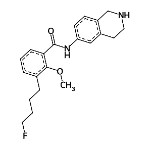 COc1c(CCCCF)cccc1C(=O)Nc1ccc2c(c1)CCNC2